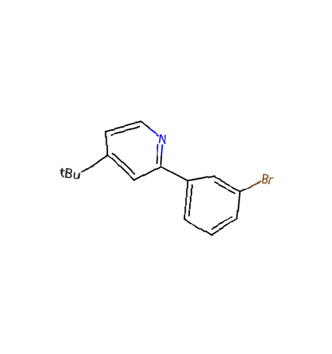 CC(C)(C)c1ccnc(-c2cccc(Br)c2)c1